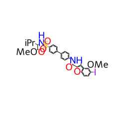 COC(=O)C(NS(=O)(=O)c1ccc(-c2ccc(NC(=O)c3oc4ccc(I)c(OC)c4c3C)cc2)cc1)C(C)C